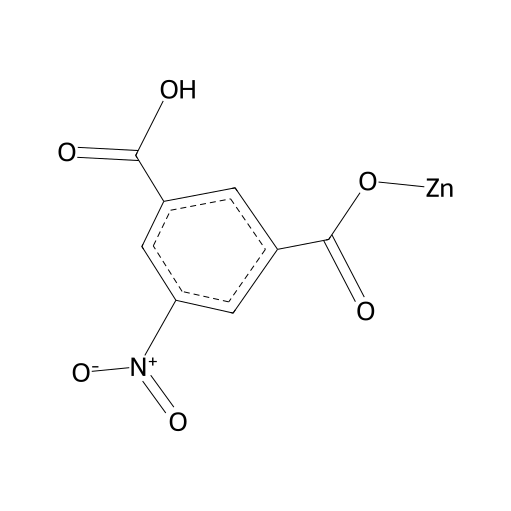 O=C(O)c1cc(C(=O)[O][Zn])cc([N+](=O)[O-])c1